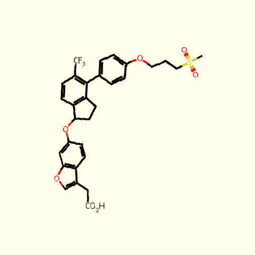 CS(=O)(=O)CCCOc1ccc(-c2c(C(F)(F)F)ccc3c2CCC3Oc2ccc3c(CC(=O)O)coc3c2)cc1